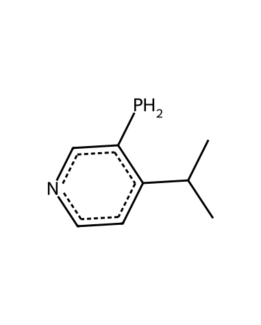 CC(C)c1ccncc1P